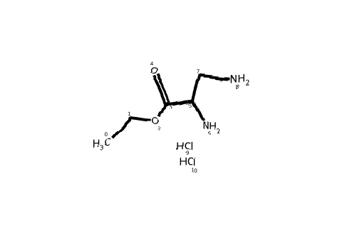 CCOC(=O)C(N)CN.Cl.Cl